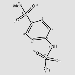 CNS(=O)(=O)c1ccc(NS(=O)(=O)C(F)(F)F)cc1